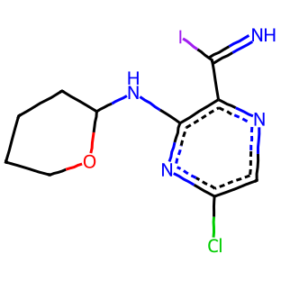 N=C(I)c1ncc(Cl)nc1NC1CCCCO1